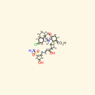 NS(=O)(=O)[C@H]1C[C@@H](O)C[C@@H]1C/C=C/[C@H](O)[C@@H]1CC[C@H]1CN1C[C@@]2(CCCc3cc(Cl)ccc32)COc2ccc(C(=O)O)cc21